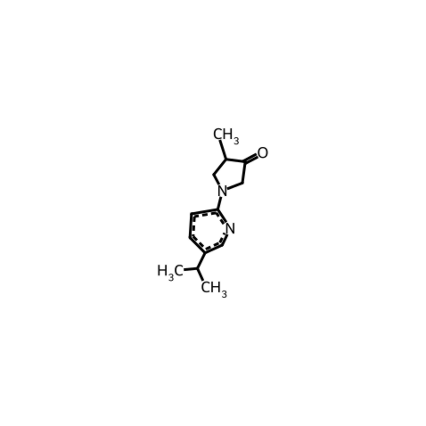 CC1CN(c2ccc(C(C)C)cn2)CC1=O